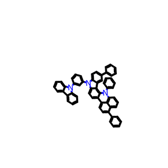 c1ccc(-c2ccc3c(c2)c2c4c(ccc2n3-c2cccc(-n3c5ccccc5c5ccccc53)c2)-c2ccc(-c3ccccc3)c3cccc(c23)N4c2ccccc2)cc1